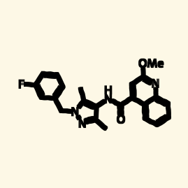 COc1cc(C(=O)Nc2c(C)nn(Cc3cccc(F)c3)c2C)c2ccccc2n1